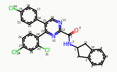 O=C(NC1Cc2ccccc2C1)c1ncc(-c2ccc(Cl)cc2)c(-c2ccc(Cl)cc2Cl)n1